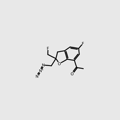 CC(=O)c1cc(F)cc2c1OC(CF)(CN=[N+]=[N-])C2